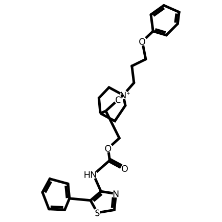 O=C(Nc1ncsc1-c1ccccc1)OCC1C[N+]2(CCCOc3ccccc3)CCC1CC2